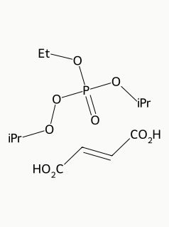 CCOP(=O)(OOC(C)C)OC(C)C.O=C(O)C=CC(=O)O